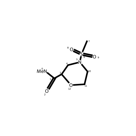 CNC(=O)C1CN(S(C)(=O)=O)CCO1